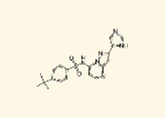 CC(C)(C)c1ccc(S(=O)(=O)Nc2ccnc3cc(-c4cnc[nH]4)nn23)cc1